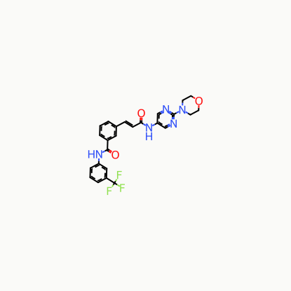 O=C(C=Cc1cccc(C(=O)Nc2cccc(C(F)(F)F)c2)c1)Nc1cnc(N2CCOCC2)nc1